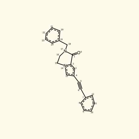 O=C1c2cc(C#Cc3ccccc3)cn2CCN1Cc1ccccc1